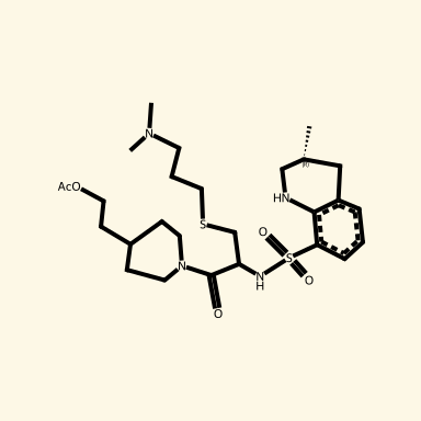 CC(=O)OCCC1CCN(C(=O)C(CSCCCN(C)C)NS(=O)(=O)c2cccc3c2NC[C@H](C)C3)CC1